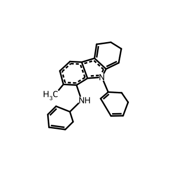 Cc1ccc2c3c(n(C4=CC=CCC4)c2c1NC1C=CC=CC1)=CCCC=3